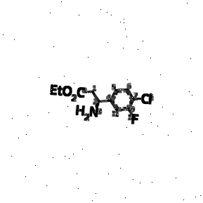 CCOC(=O)C[C@H](N)c1ccc(Cl)c(F)c1